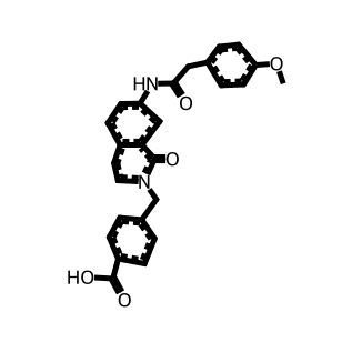 COc1ccc(CC(=O)Nc2ccc3ccn(Cc4ccc(C(=O)O)cc4)c(=O)c3c2)cc1